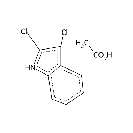 CC(=O)O.Clc1[nH]c2ccccc2c1Cl